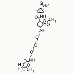 CC(=O)Nc1cc(NCCOCCOCCOCCNC(=O)OC(C)(C)C)ccc1C(=O)Nc1ncc([N+](=O)[O-])s1